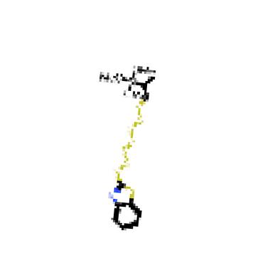 CO[Si](OC)(OC)C(C)CSSSSSSSc1nc2ccccc2s1